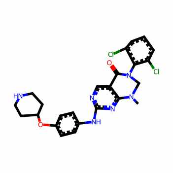 CN1CN(c2c(Cl)cccc2Cl)C(=O)c2cnc(Nc3ccc(OC4CCNCC4)cc3)nc21